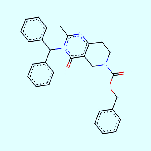 Cc1nc2c(c(=O)n1C(c1ccccc1)c1ccccc1)CN(C(=O)OCc1ccccc1)CC2